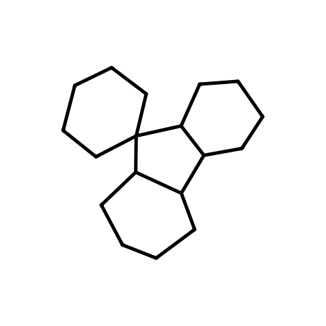 C1CCC2(CC1)C1CCCCC1C1CCCCC12